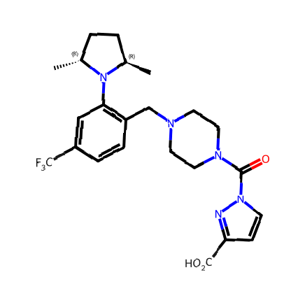 C[C@@H]1CC[C@@H](C)N1c1cc(C(F)(F)F)ccc1CN1CCN(C(=O)n2ccc(C(=O)O)n2)CC1